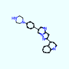 c1ccc2c(-c3cc4ncc(-c5ccc(N6CCNCC6)cc5)cn4n3)ccnc2c1